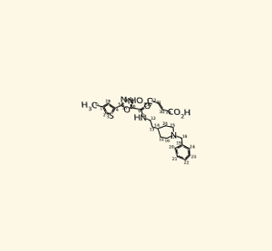 Cc1csc(-c2nnc(C(=O)NCCC3CCN(Cc4ccccc4)CC3)o2)c1.O=C(O)C=CC(=O)O